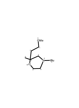 COCCC1(C)CN(C(C)(C)C)CCO1